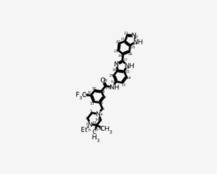 CCN1CCN(Cc2cc(C(=O)Nc3ccc4[nH]c(-c5ccc6cn[nH]c6c5)nc4c3)cc(C(F)(F)F)c2)CC1(C)C